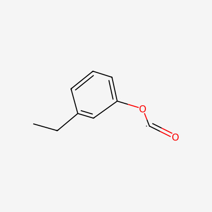 CCc1cccc(O[C]=O)c1